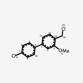 COc1cc(-c2ccc(Cl)cc2)ccc1CCl